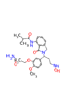 CCOc1cc(C(CCNO)N2Cc3cccc(NC(=O)C(C)C)c3C2=O)ccc1OC.NC=O